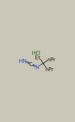 CCCC(CC)(CCC)N=C=N.Cl